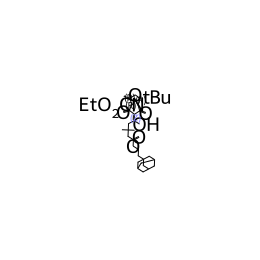 CCOC(=O)[C@@]12C(=O)/C(=C(/O)CC(C)(C)CC(=O)OCCC34CC5CC(CC(C5)C3)C4)C(=O)N1[C@@H](C(C)(C)C)O[C@@H]2C